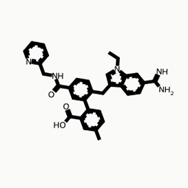 CCn1cc(Cc2ccc(C(=O)NCc3ccccn3)cc2-c2ccc(C)cc2C(=O)O)c2ccc(C(=N)N)cc21